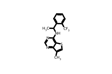 Cc1csc2c(NC(C)c3ccccc3C(F)(F)F)ncnc12